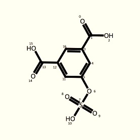 O=C(O)c1cc(OS(=O)(=O)O)cc(C(=O)O)c1